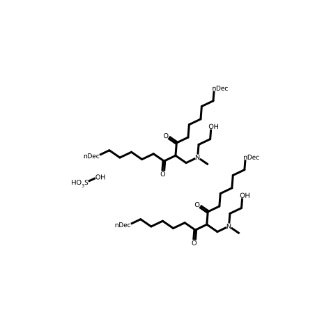 CCCCCCCCCCCCCCCC(=O)C(CN(C)CCO)C(=O)CCCCCCCCCCCCCCC.CCCCCCCCCCCCCCCC(=O)C(CN(C)CCO)C(=O)CCCCCCCCCCCCCCC.O=S(=O)(O)O